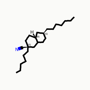 CCCCCCC[C@H]1CCC2C[C@](C#N)(CCCCCC)CC[C@@H]2C1